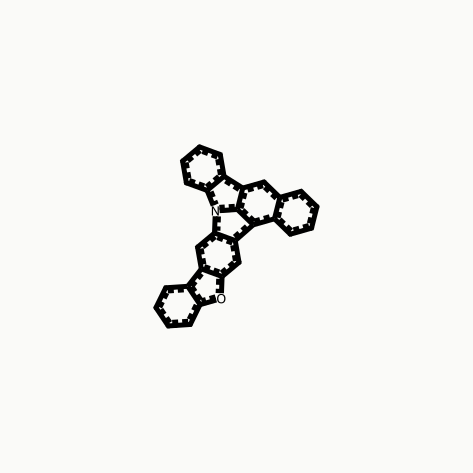 c1ccc2c(c1)cc1c3ccccc3n3c4cc5c(cc4c2c13)oc1ccccc15